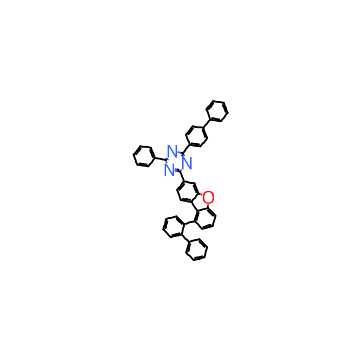 c1ccc(-c2ccc(-c3nc(-c4ccccc4)nc(-c4ccc5c(c4)oc4cccc(-c6ccccc6-c6ccccc6)c45)n3)cc2)cc1